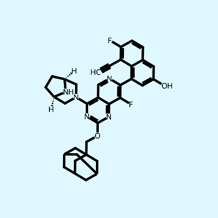 C#Cc1c(F)ccc2cc(O)cc(-c3ncc4c(N5C[C@H]6CC[C@@H](C5)N6)nc(OCC56CC7CC(CC(C7)C5)C6)nc4c3F)c12